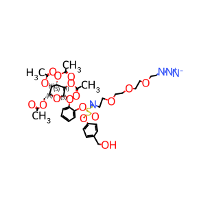 CC(=O)OC[C@H]1O[C@@H](Oc2ccccc2OS(=O)(=NCCOCCOCCOCCN=[N+]=[N-])Oc2ccc(CO)cc2)[C@H](OC(C)=O)[C@@H](OC(C)=O)[C@H]1OC(C)=O